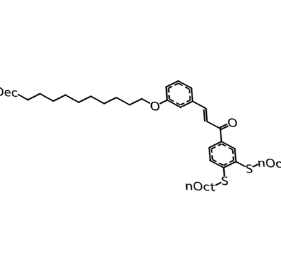 CCCCCCCCCCCCCCCCCCCCOc1cccc(/C=C/C(=O)c2ccc(SCCCCCCCC)c(SCCCCCCCC)c2)c1